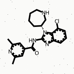 Cc1cc(C(=O)Nc2nc3cccc(Cl)c3n2[C@@H]2CCCCNC2)cc(C)n1